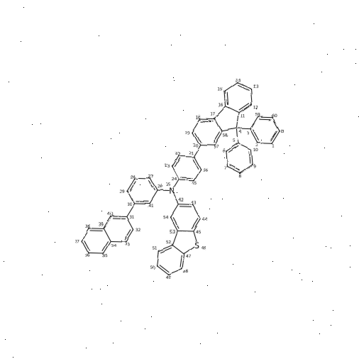 c1ccc(C2(c3ccccc3)c3ccccc3-c3ccc(-c4ccc(N(c5cccc(-c6ccc7ccccc7c6)c5)c5ccc6sc7ccccc7c6c5)cc4)cc32)cc1